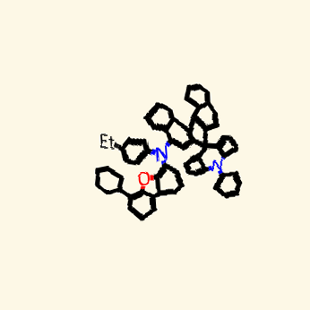 CCc1ccc(N(c2cc3c(c4ccccc24)-c2c(ccc4ccccc24)C32c3ccccc3N(c3ccccc3)c3ccccc32)c2cccc3c2oc2c(C4CCCCC4)cccc23)cc1